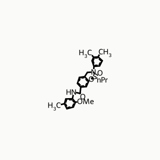 CCCS(=O)(=O)N(Cc1ccc(C(=O)Nc2cc(C)ccc2OC)cc1)c1ccc(C)c(C)c1